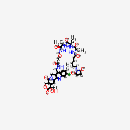 CC[C@@]1(O)C(=O)OCc2c1cc1n(c2=O)Cc2c-1nc1cc(F)c(C)cc1c2CNC(=O)CCOCNC(=O)[C@H](C)NC(=O)[C@H](C)NC(=O)[C@H](C)NC(=O)CCCCCN1C(=O)C=CC1=O